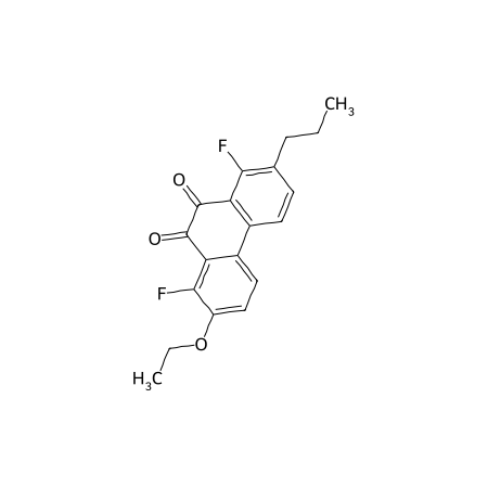 CCCc1ccc2c(c1F)C(=O)C(=O)c1c-2ccc(OCC)c1F